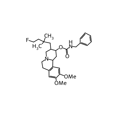 COc1cc2c(cc1OC)C1CC(OC(=O)NCc3ccccc3)C(CC(C)(C)CCF)CN1CC2